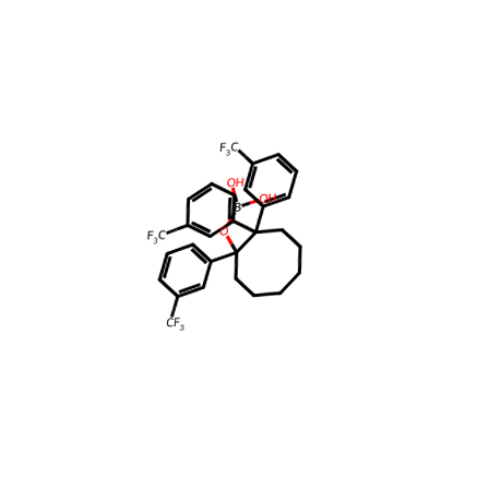 OB(O)OC1(c2cccc(C(F)(F)F)c2)CCCCCCC1(c1cccc(C(F)(F)F)c1)c1cccc(C(F)(F)F)c1